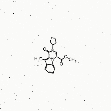 COC(=O)c1cn(C2CCCC2)c(=O)c2c(C)c3ccccc3n12